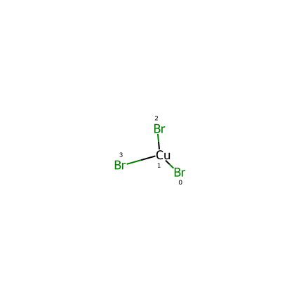 [Br][Cu]([Br])[Br]